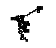 CCOc1ccc(CC(CN(CCN(CC(=O)O)CC(=O)NCCCCCCCCCCC(=O)O)CC(=O)O)N(CC(=O)O)CC(=O)O)cc1